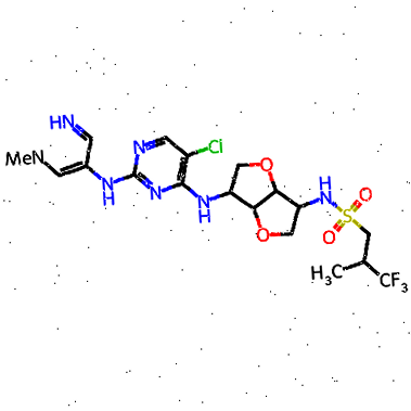 CN/C=C(\C=N)Nc1ncc(Cl)c(NC2COC3C(NS(=O)(=O)CC(C)C(F)(F)F)COC23)n1